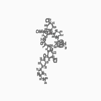 COC[C@@H]1NC(=O)[C@H](C)N(Cc2ccc(Cl)cc2Oc2ccc(-c3cnc(CN(C)C)n3C)cc2)C(=O)C[C@](O)(CC(F)(F)F)C(=O)N2CCC[C@@](Cc3ccc(Cl)cc3)(C2)N(C)C1=O